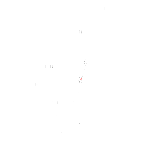 CC(C)N1C(=O)C2(N=C1N)c1cc(-c3cc(F)ccn3)ccc1CC21CCC(OC(F)F)CC1